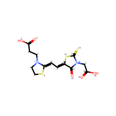 O=C(O)CCN1CCSC1=CC=C1SC(=S)N(CC(=O)O)C1=O